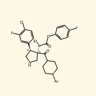 CCN(C(=O)Oc1ccc(F)cc1)[C@]1(C(=O)C2CCN(C(C)=O)CC2)CNC[C@H]1c1ccc(Cl)c(F)c1